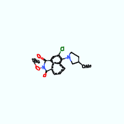 COC1CCN(c2c(Cl)cc3c4c(cccc24)C(=O)N(OC(C)(C)C)C3=O)C1